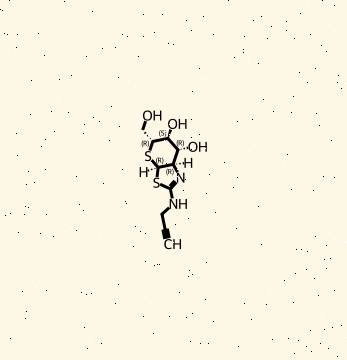 C#CCNC1=N[C@H]2[C@@H](S1)S[C@H](CO)[C@@H](O)[C@@H]2O